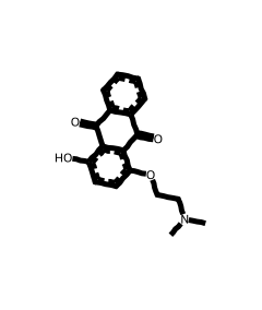 CN(C)CCOc1ccc(O)c2c1C(=O)c1ccccc1C2=O